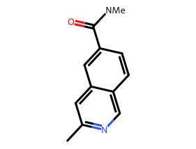 CNC(=O)c1ccc2cnc(C)cc2c1